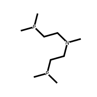 CN(CCP(C)C)CCP(C)C